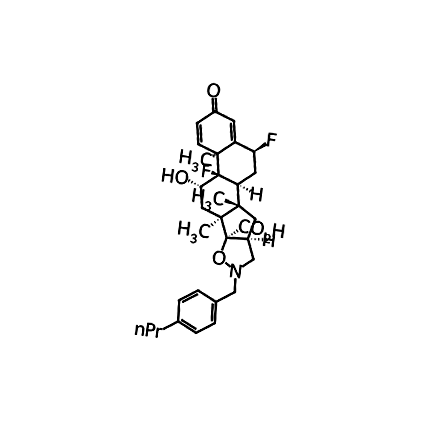 CCCc1ccc(CN2C[C@@H]3C[C@@]4(C)[C@@H]5C[C@H](F)C6=CC(=O)C=C[C@]6(C)[C@@]5(F)[C@@H](O)C[C@]4(C)[C@]3(C(=O)O)O2)cc1